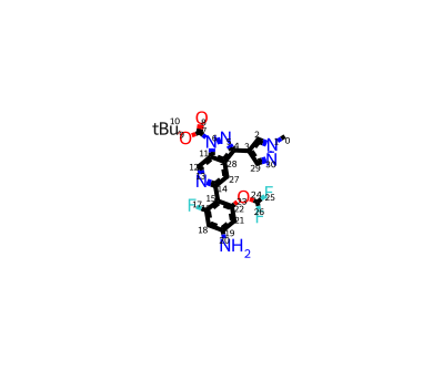 Cn1cc(-c2nn(C(=O)OC(C)(C)C)c3cnc(-c4c(F)cc(N)cc4OC(F)F)cc23)cn1